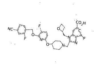 N#Cc1ccc(COc2nc(OC3CCN(Cc4nc5c(F)cc(C(=O)O)cc5n4C[C@@H]4CCO4)CC3)ccc2F)c(F)c1